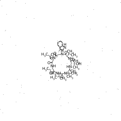 C=C1N[C@@H](C(C)(C)O)C(=O)N[C@H](C(C)C)C(=O)N[C@@H](Cc2c[nH]c3ccccc23)C(=O)N[C@H](CC(C)C)C(=O)N[C@@H](C(C)C)C(=O)N[C@H](C(C)C)C(=O)N[C@H]1C(C)C